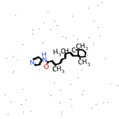 CC(C=CC1=C(C)CCCC1(C)C)=CC=CC(C)=CC(=O)Nc1ccncc1